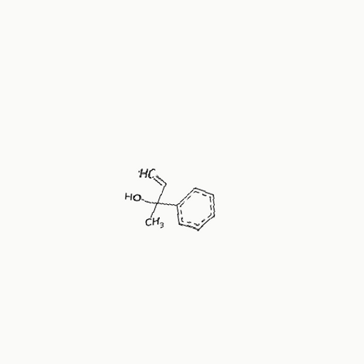 [CH]=CC(C)(O)c1ccccc1